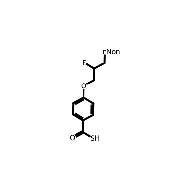 CCCCCCCCCCC(F)COc1ccc(C(=O)S)cc1